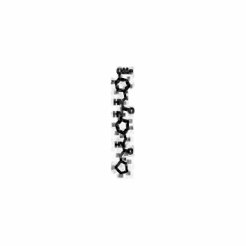 COc1ccc(CNC(=O)Nc2ccc(CNC(=O)CC3CCCC3)cc2)cc1